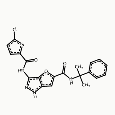 CC(C)(NC(=O)c1cc2[nH]nc(NC(=O)c3ccc(Cl)s3)c2o1)c1ccccc1